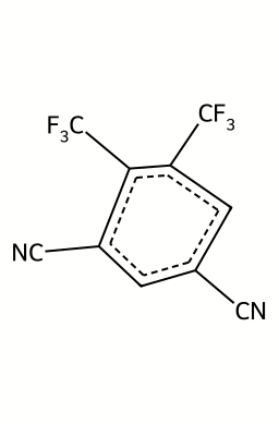 N#Cc1cc(C#N)c(C(F)(F)F)c(C(F)(F)F)c1